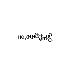 O=C1O[C@]2(CCN(C(=O)C3(c4ccc(N5CCN(C(=O)O)CC5)nc4)CC3)C2)c2ccccc21